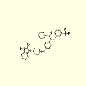 O=c1[nH]c2ccccc2n1C1CCN(Cc2ccc(N3Cc4cc(C(F)(F)F)ccc4N=C3c3ccccc3)cc2)CC1